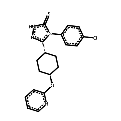 S=c1[nH]nc([C@H]2CC[C@H](Oc3ccccn3)CC2)n1-c1ccc(Cl)cc1